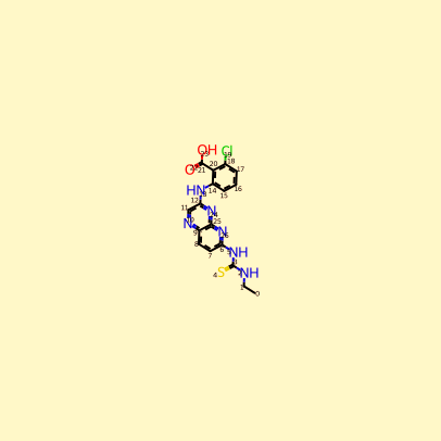 CCNC(=S)Nc1ccc2ncc(Nc3cccc(Cl)c3C(=O)O)nc2n1